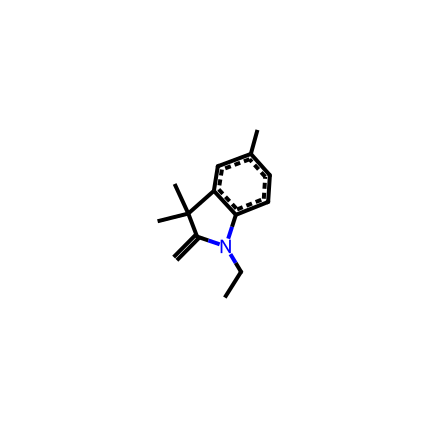 C=C1N(CC)c2ccc(C)cc2C1(C)C